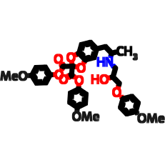 COc1ccc(OCC(O)CNC(C)Cc2ccc3c(c2)OC(C(=O)Oc2ccc(OC)cc2)(C(=O)Oc2ccc(OC)cc2)O3)cc1